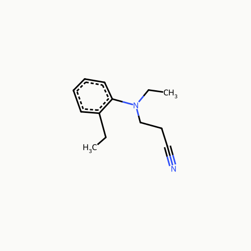 CCc1ccccc1N(CC)CCC#N